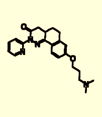 CN(C)CCCOc1ccc2c(c1)CCC1CC(=O)N(c3ccccn3)N=C21